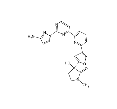 CN1CCC(O)(c2cc(-c3cccc(-c4ccnc(-n5ccc(N)n5)n4)n3)no2)C1=O